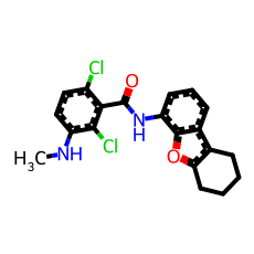 CNc1ccc(Cl)c(C(=O)Nc2cccc3c4c(oc23)CCCC4)c1Cl